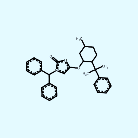 CC1CCC(C(C)(C)c2ccccc2)C(Oc2cn(C(c3ccccc3)c3ccccc3)c(=O)o2)C1